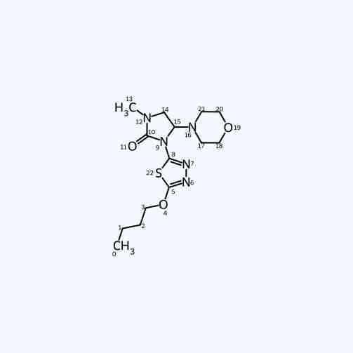 CCCCOc1nnc(N2C(=O)N(C)CC2N2CCOCC2)s1